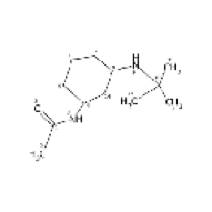 CC(=O)NC1CCCC(NC(C)(C)C)C1